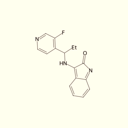 CCC(NC1=c2ccccc2=NC1=O)c1ccncc1F